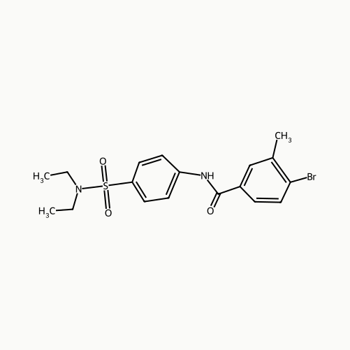 CCN(CC)S(=O)(=O)c1ccc(NC(=O)c2ccc(Br)c(C)c2)cc1